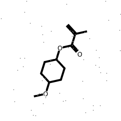 C=C(C)C(=O)OC1CCC(OC)CC1